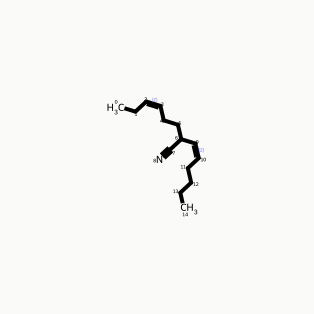 CC/C=C\CCC(C#N)/C=C\CCCC